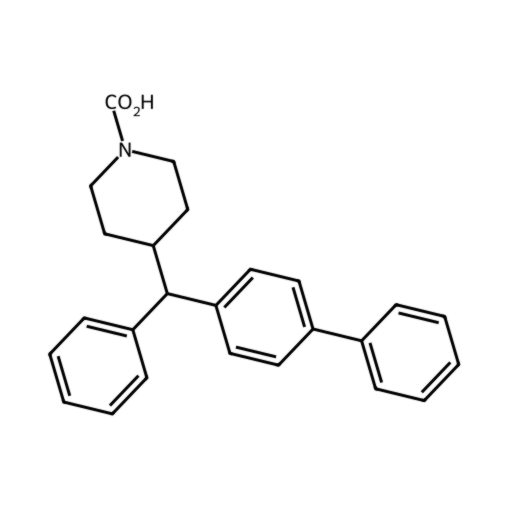 O=C(O)N1CCC(C(c2ccccc2)c2ccc(-c3ccccc3)cc2)CC1